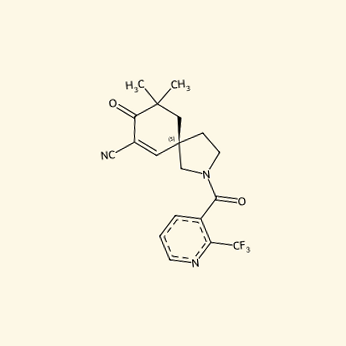 CC1(C)C[C@@]2(C=C(C#N)C1=O)CCN(C(=O)c1cccnc1C(F)(F)F)C2